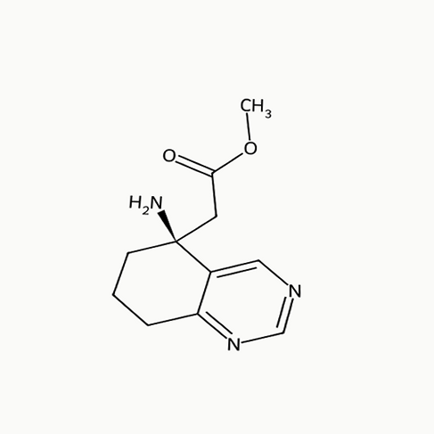 COC(=O)C[C@@]1(N)CCCc2ncncc21